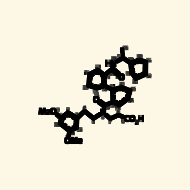 COc1cc(CCN(CCC(=O)O)C(=O)c2ccccc2-c2ccccc2C(=O)NC(C)c2ccccc2)cc(OC)c1